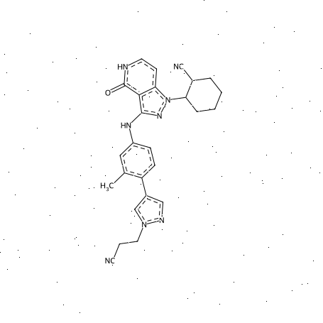 Cc1cc(Nc2nn(C3CCCCC3C#N)c3cc[nH]c(=O)c23)ccc1-c1cnn(CCC#N)c1